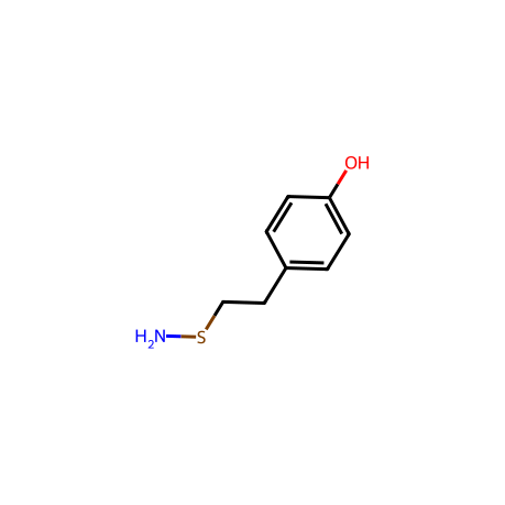 NSCCc1ccc(O)cc1